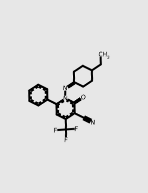 CCC1CCC(=Nn2c(-c3ccccc3)cc(C(F)(F)F)c(C#N)c2=O)CC1